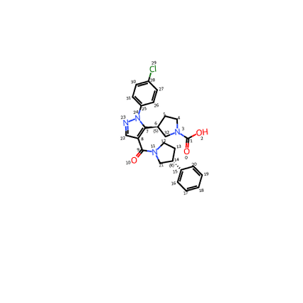 O=C(O)N1CC[C@H](c2c(C(=O)N3CC[C@H](c4ccccc4)C3)cnn2-c2ccc(Cl)cc2)C1